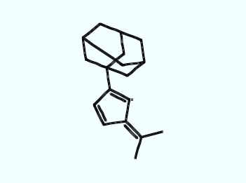 CC(C)=C1[C]=C(C23CC4CC(CC(C4)C2)C3)C=C1